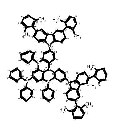 Cc1cccc(C)c1-c1ccc2c(c1)c1cc(-c3c(C)cccc3C)ccc1n2-c1ccc2c(c1)N(c1ccccc1)c1cc(N(c3ccccc3)c3ccccc3)cc3c1B2c1ccc(-n2c4ccc(-c5c(C)cccc5C)cc4c4cc(-c5c(C)cccc5C)ccc42)cc1N3c1ccccc1